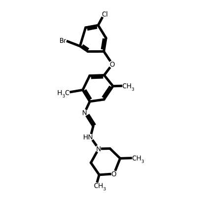 Cc1cc(Oc2cc(Cl)cc(Br)c2)c(C)cc1N=CNN1CC(C)OC(C)C1